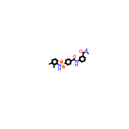 Cc1cccc(NS(=O)(=O)c2ccc(C(=O)Nc3cccc(C(=O)N(C)C)c3)cc2)c1C